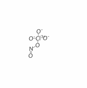 O=NO[Cl+3]([O-])([O-])[O-]